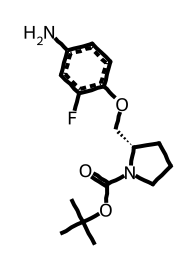 CC(C)(C)OC(=O)N1CCC[C@H]1COc1ccc(N)cc1F